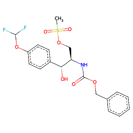 CS(=O)(=O)OC[C@@H](NC(=O)OCc1ccccc1)[C@H](O)c1ccc(OC(F)F)cc1